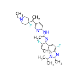 C=C(/N=C(\C(F)=C/C)c1cc(F)c2nc(C)n(C(C)C)c2c1)Nc1ccc(C(=C)C2(F)CCN(CC)CC2)cn1